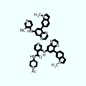 CC(=O)N1CCC(NC(=O)c2ccncc2Nc2cc(-c3ccc4ccn(C)c4c3)c3nccnc3c2)CC1.Cn1ccc2ccc(-c3cc(Nc4ccncc4C#N)cc4nccnc34)cc21